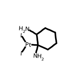 NC1CCCC[C]1(N)[Pt]([I])[I]